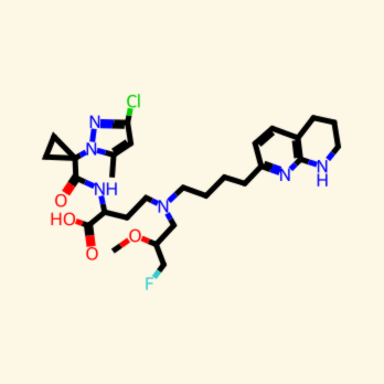 COC(CF)CN(CCCCc1ccc2c(n1)NCCC2)CCC(NC(=O)C1(n2nc(Cl)cc2C)CC1)C(=O)O